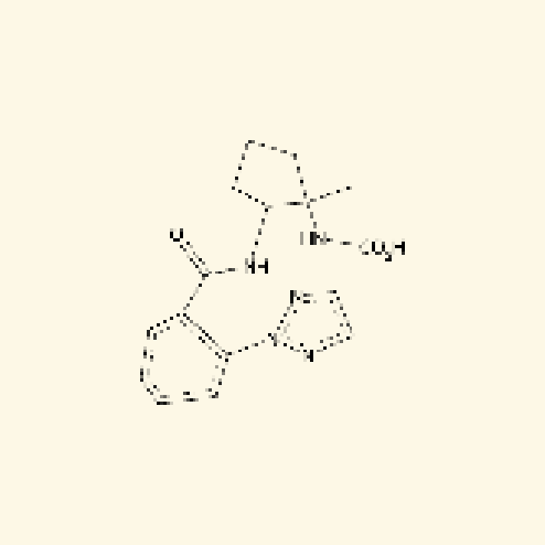 CC1(NC(=O)O)CCCC1NC(=O)c1ccccc1-n1nccn1